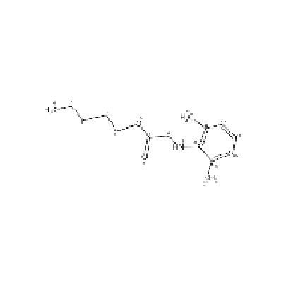 CCCCCOC(=O)CNc1c(C)cccc1C